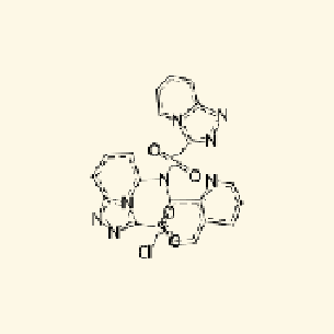 O=S(=O)(Cl)c1nnc2cccc(N(c3cccc4cccnc34)S(=O)(=O)c3nnc4ccccn34)n12